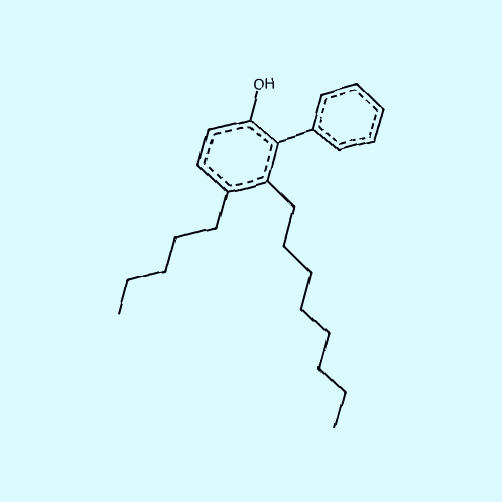 CCCCCCCCc1c(CCCCC)ccc(O)c1-c1ccccc1